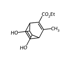 CCOC(=O)C1=C(C)C2C=CC1C(O)C2O